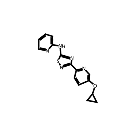 c1ccc(Nc2nc(-c3ccc(OC4CC4)cn3)ns2)nc1